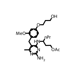 CCCC(CCOC(C)=O)Nc1nc(N)nc(C)c1Cc1ccc(OCCCO)cc1OC